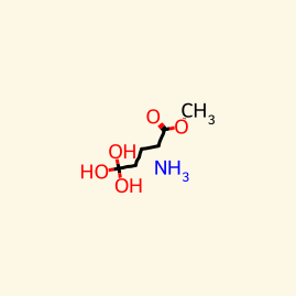 COC(=O)CCCC(O)(O)O.N